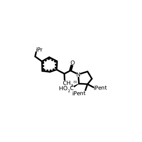 CCCC(C)C1(C(C)CCC)CCN(C(=O)C(C)c2ccc(CC(C)C)cc2)[C@@H]1C(=O)O